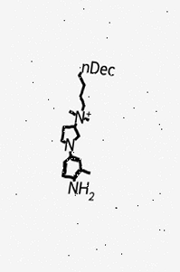 CCCCCCCCCCCCCC[N+](C)(C)C1CCN(c2ccc(N)c(C)c2)C1